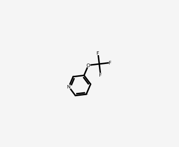 FC(F)(F)Oc1c[c]cnc1